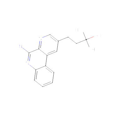 CC(C)(O)CCc1cnc2c(N)nc3ccccc3c2c1